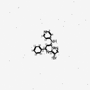 Brc1cnn2c(Nc3ccncc3)cc(-c3ccccc3)nc12